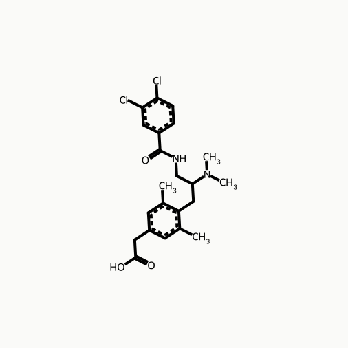 Cc1cc(CC(=O)O)cc(C)c1CC(CNC(=O)c1ccc(Cl)c(Cl)c1)N(C)C